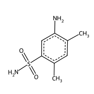 Cc1cc(C)c(S(N)(=O)=O)cc1N